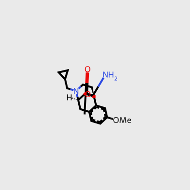 COc1ccc2c(c1)[C@]13CCN(CC4CC4)[C@H](C2)C1OC(=O)C(N)C3